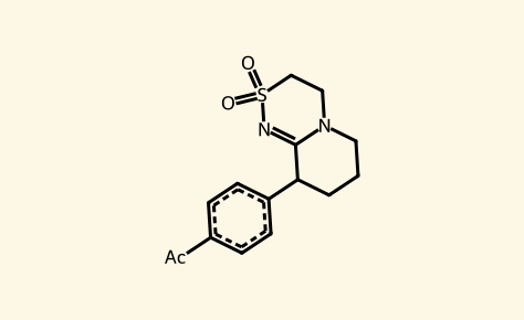 CC(=O)c1ccc(C2CCCN3CCS(=O)(=O)N=C23)cc1